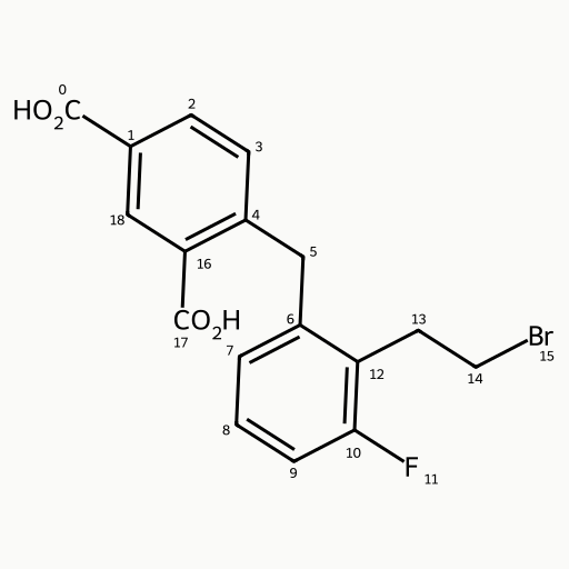 O=C(O)c1ccc(Cc2cccc(F)c2CCBr)c(C(=O)O)c1